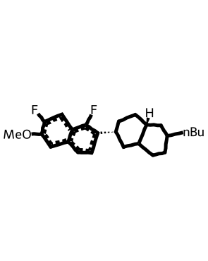 CCCCC1CCC2C[C@H](c3ccc4cc(OC)c(F)cc4c3F)CC[C@@H]2C1